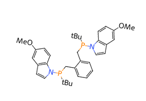 COc1ccc2c(ccn2P(Cc2ccccc2CP(n2ccc3cc(OC)ccc32)C(C)(C)C)C(C)(C)C)c1